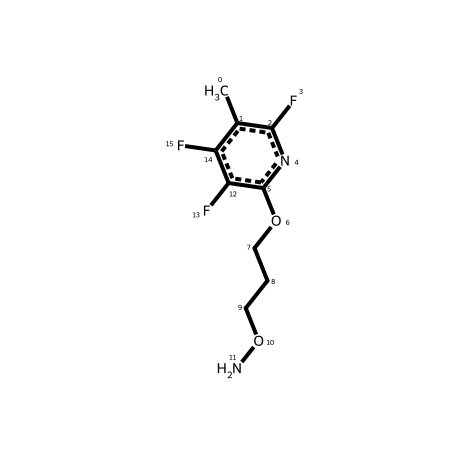 Cc1c(F)nc(OCCCON)c(F)c1F